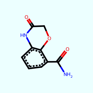 NC(=O)c1cccc2c1OCC(=O)N2